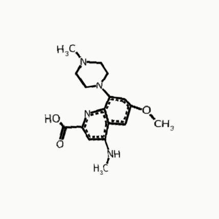 CNc1cc(C(=O)O)nc2c(N3CCN(C)CC3)cc(OC)cc12